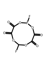 O=C1OC(F)OC(=O)C(=O)OP(F)OC1=O